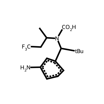 CC(CC(F)(F)F)N(C(=O)O)C(c1cccc(N)c1)C(C)(C)C